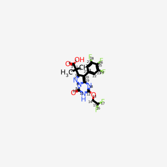 CC(C)(C(=O)O)c1nn2c(=O)[nH]c(OCC(F)F)nc2c1-c1cc(F)c(F)c(F)c1